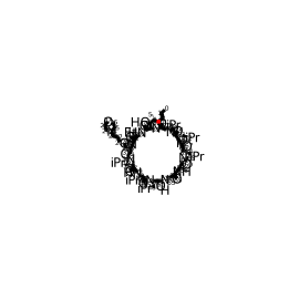 C/C=C/C[C@@H](C)[C@@H](O)[C@H]1C(=O)N[C@@H](CC)C(=O)N(C)[C@H](COCCCN2CCOCC2)C(=O)N(C)[C@@H](CC(C)C)C(=O)N[C@@H](C(C)C)C(=O)N(C)[C@@H](CC(C)C)C(=O)N[C@@H](C)C(=O)N[C@H](C)C(=O)N(C)[C@@H](CC(C)C)C(=O)N(C)[C@@H](CC(C)C)C(=O)N(C)[C@@H](C(C)C)C(=O)N1C